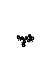 c1ccc2c(c1)Oc1cccc3c4cccc(-c5ccc(N(c6ccc7c(c6)oc6ccccc67)c6ccc7c(c6)oc6ccccc67)cc5)c4n-2c13